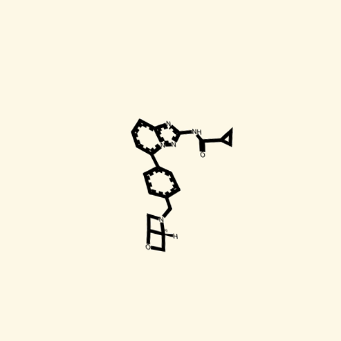 O=C(Nc1nc2cccc(-c3ccc(CN4CC5OC[C@H]54)cc3)n2n1)C1CC1